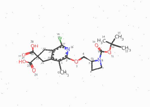 Cc1c(OC[C@@H]2CCN2C(=O)OC(C)(C)C)nc(Br)c2c1CC(C(=O)O)(C(=O)O)C2